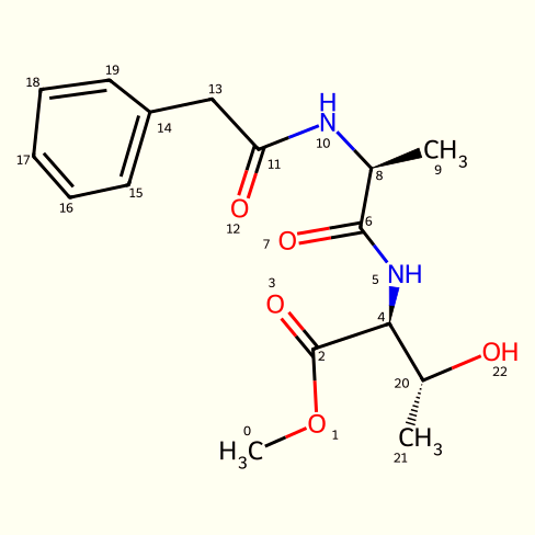 COC(=O)[C@@H](NC(=O)[C@H](C)NC(=O)Cc1ccccc1)[C@@H](C)O